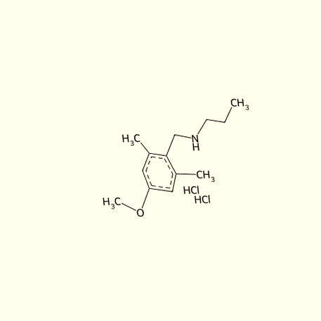 CCCNCc1c(C)cc(OC)cc1C.Cl.Cl